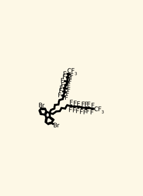 FC(F)(F)C(F)(F)C(F)(F)C(F)(F)C(F)(F)C(F)(F)C(F)(F)C(F)(F)CCCCCCC1(CCCCCCC(F)(F)C(F)(F)C(F)(F)C(F)(F)C(F)(F)C(F)(F)C(F)(F)C(F)(F)F)c2cc(Br)ccc2-c2ccc(Br)cc21